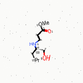 COC(=O)CCN[C@H](CO)CC(C)C